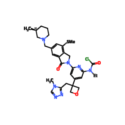 CCN(C(=O)Cl)c1cc(C2(Cc3nncn3C)COC2)cc(N2Cc3c(SC)cc(CN4CCC[C@H](C)C4)cc3C2=O)n1